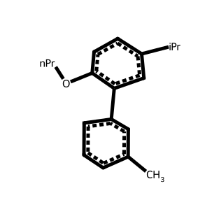 CCCOc1ccc(C(C)C)cc1-c1cccc(C)c1